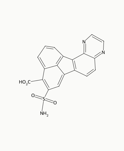 NS(=O)(=O)c1cc2c3c(cccc3c1C(=O)O)-c1c-2ccc2nccnc12